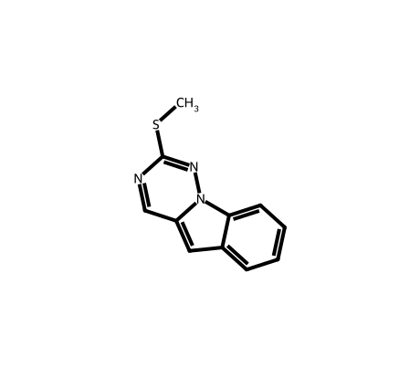 CSc1ncc2cc3ccccc3n2n1